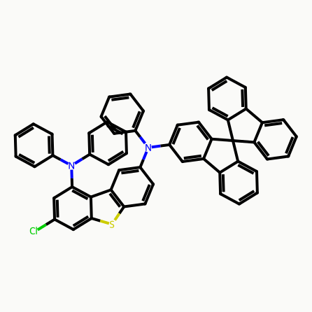 Clc1cc(N(c2ccccc2)c2ccccc2)c2c(c1)sc1ccc(N(c3ccccc3)c3ccc4c(c3)-c3ccccc3C43c4ccccc4-c4ccccc43)cc12